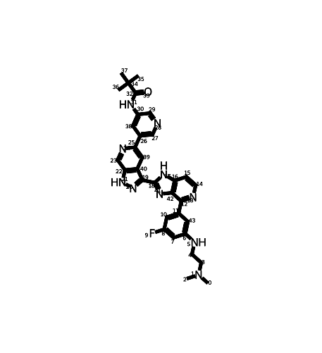 CN(C)CCNc1cc(F)cc(-c2nccc3[nH]c(-c4n[nH]c5cnc(-c6cncc(NC(=O)C(C)(C)C)c6)cc45)nc23)c1